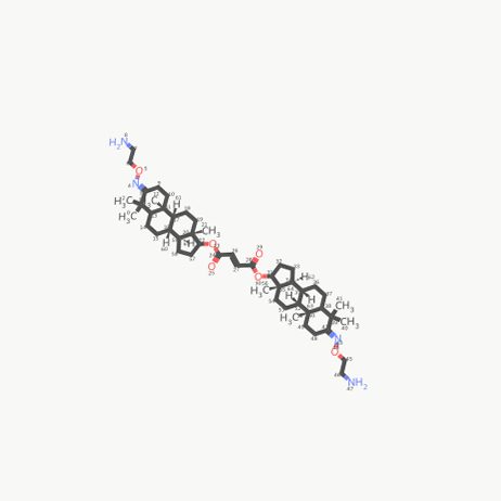 CC1(C)/C(=N/OCCN)CC[C@@]2(C)C1CC[C@@H]1[C@H]2CC[C@]2(C)C(OC(=O)/C=C/C(=O)OC3CC[C@H]4[C@@H]5CCC6C(C)(C)/C(=N/OCCN)CC[C@]6(C)[C@@H]5CC[C@]34C)CC[C@@H]12